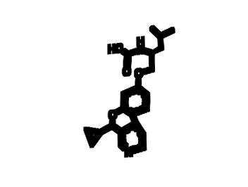 CC(C)C[C@@H](COc1ccc2c(c1)OC(C1CC1)c1cnccc1-2)NC(=O)O